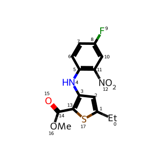 CCc1cc(Nc2ccc(F)cc2[N+](=O)[O-])c(C(=O)OC)s1